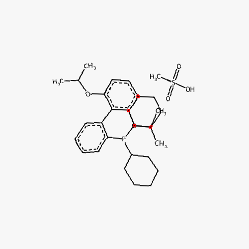 CC(C)Oc1cccc(OC(C)C)c1-c1ccccc1P(C1CCCCC1)C1CCCCC1.CS(=O)(=O)O